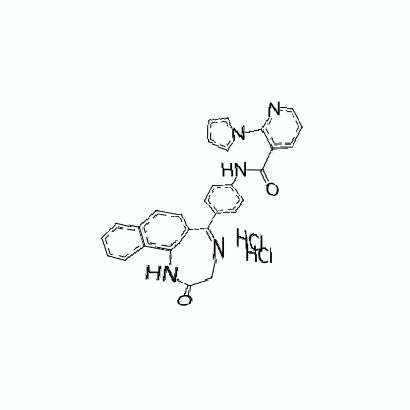 Cl.Cl.O=C1CN=C(c2ccc(NC(=O)c3cccnc3-n3cccc3)cc2)c2ccc3ccccc3c2N1